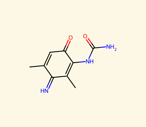 CC1=CC(=O)C(NC(N)=O)=C(C)C1=N